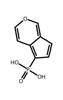 O=P(O)(O)c1ccc2coccc1-2